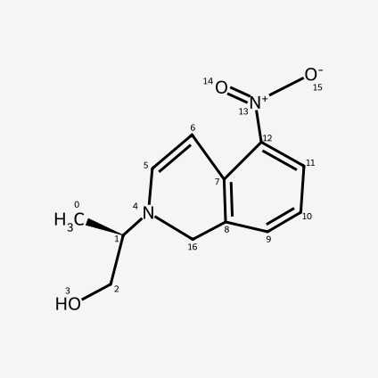 C[C@H](CO)N1C=Cc2c(cccc2[N+](=O)[O-])C1